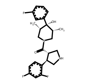 C[C@@H]1CN(C(=O)[C@@H]2CNC[C@H]2c2ccc(F)cc2F)C[C@H](C)[C@@]1(O)c1cccc(F)c1